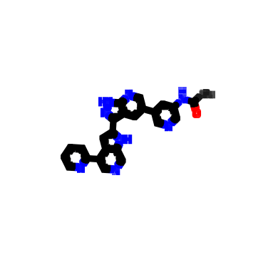 CC(C)(C)C(=O)Nc1cncc(-c2cnc3[nH]nc(-c4cc5c(-c6ccccn6)cncc5[nH]4)c3c2)c1